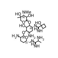 CN[C@@H]1C(O)[C@@H](OC2C(O)C(O[C@H]3O[C@H](CNC(=N)C(C)N)CCC3N)[C@@H](N)C[C@H]2NC(=N)C2(O)CCC2)OCC1(C)O